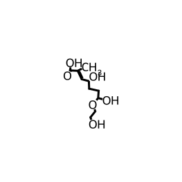 C/C(=C\C(O)CCC(O)OCCO)C(=O)O